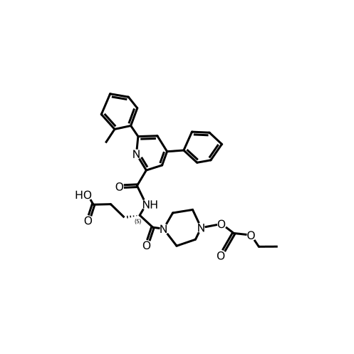 CCOC(=O)ON1CCN(C(=O)[C@H](CCC(=O)O)NC(=O)c2cc(-c3ccccc3)cc(-c3ccccc3C)n2)CC1